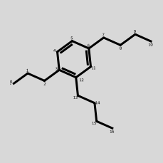 [CH2]CCc1ccc(CCCC)cc1CCCC